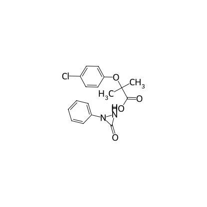 CC(C)(Oc1ccc(Cl)cc1)C(=O)O.O=C1NN1c1ccccc1